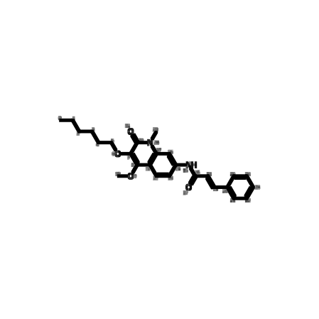 CCCCCCOc1c(OC)c2ccc(NC(=O)C=Cc3ccccc3)cc2n(C)c1=O